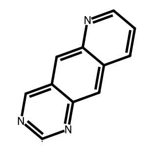 [c]1ncc2cc3ncccc3cc2n1